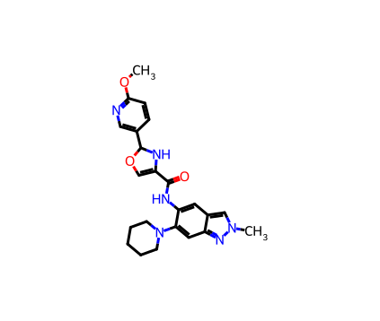 COc1ccc(C2NC(C(=O)Nc3cc4cn(C)nc4cc3N3CCCCC3)=CO2)cn1